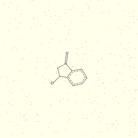 O=C1CC(Cl)c2ccccc21